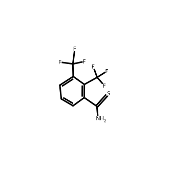 NC(=S)c1cccc(C(F)(F)F)c1C(F)(F)F